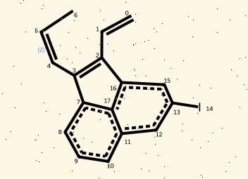 C=CC1=C(/C=C\C)c2cccc3cc(I)cc1c23